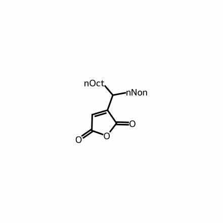 CCCCCCCCCC(CCCCCCCC)C1=CC(=O)OC1=O